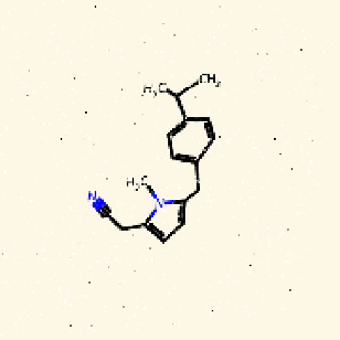 CC(C)c1ccc(Cc2ccc(CC#N)n2C)cc1